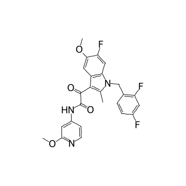 COc1cc(NC(=O)C(=O)c2c(C)n(Cc3ccc(F)cc3F)c3cc(F)c(OC)cc23)ccn1